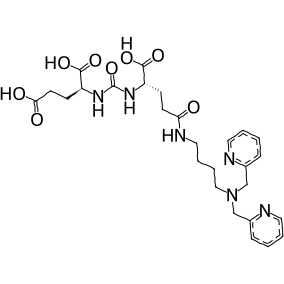 O=C(O)CC[C@H](NC(=O)N[C@@H](CCC(=O)NCCCCN(Cc1ccccn1)Cc1ccccn1)C(=O)O)C(=O)O